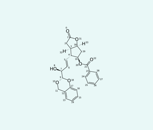 O=C1C[C@@H]2[C@@H](/C=C/[C@H](O)[C@H]3OCc4ccccc4O3)[C@H](OC(=O)c3ccccc3)C[C@@H]2O1